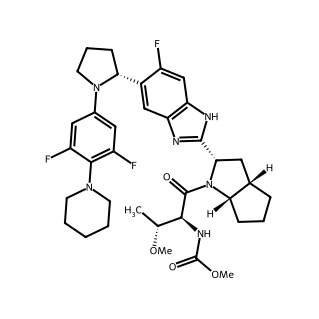 COC(=O)N[C@H](C(=O)N1[C@H](c2nc3cc([C@H]4CCCN4c4cc(F)c(N5CCCCC5)c(F)c4)c(F)cc3[nH]2)C[C@@H]2CCC[C@@H]21)[C@@H](C)OC